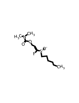 CCCCCC[S+]([O-])C(F)=CCOC(=O)N(C)C